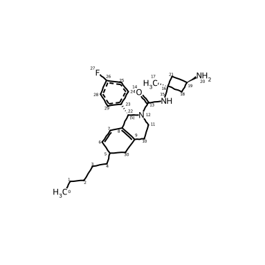 CCCCCC1C=CC2=C(CCN(C(=O)N[C@]3(C)C[C@H](N)C3)[C@H]2c2ccc(F)cc2)C1